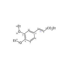 CCOC(=O)/C=C/c1ccc(OCC)c(OCC)c1